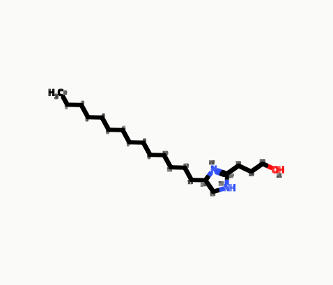 CCCCCCCCCCCCCCC1CNC(CCCO)=N1